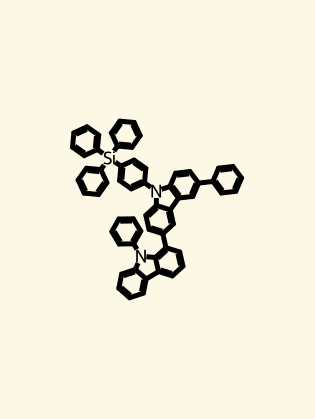 c1ccc(-c2ccc3c(c2)c2cc(-c4cccc5c6ccccc6n(-c6ccccc6)c45)ccc2n3-c2ccc([Si](c3ccccc3)(c3ccccc3)c3ccccc3)cc2)cc1